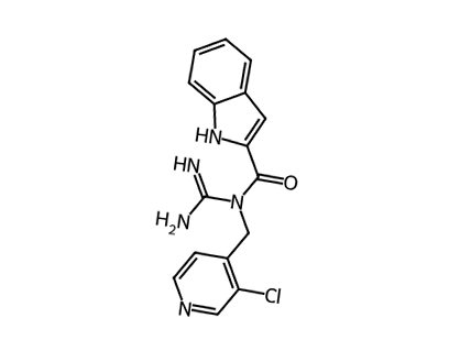 N=C(N)N(Cc1ccncc1Cl)C(=O)c1cc2ccccc2[nH]1